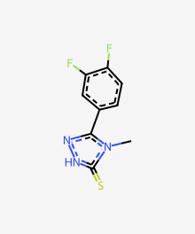 Cn1c(-c2ccc(F)c(F)c2)n[nH]c1=S